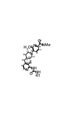 CCNC(=O)Nc1nccc(CC2CCN(c3ccc(C(=O)NC)nc3C)CC2)c1F